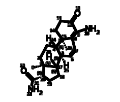 C[C@]12CC[C@H]3[C@@H](C=CC4=C(N)C(=O)CC[C@@]43C)[C@@H]1CC[C@@H]2C(N)=O